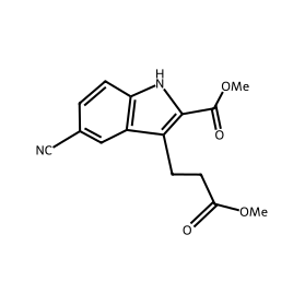 COC(=O)CCc1c(C(=O)OC)[nH]c2ccc(C#N)cc12